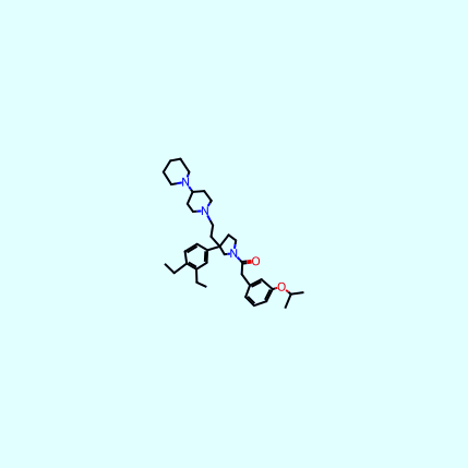 CCc1ccc(C2(CCN3CCC(N4CCCCC4)CC3)CCN(C(=O)Cc3cccc(OC(C)C)c3)C2)cc1CC